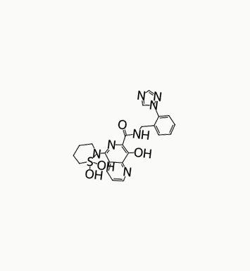 O=C(NCc1ccccc1-n1cncn1)c1nc(N2CCCCS2(O)O)c2cccnc2c1O